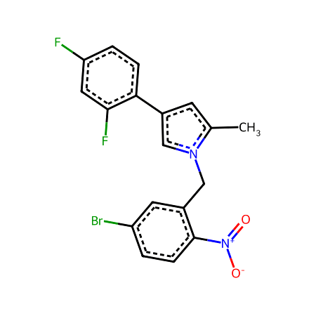 Cc1cc(-c2ccc(F)cc2F)cn1Cc1cc(Br)ccc1[N+](=O)[O-]